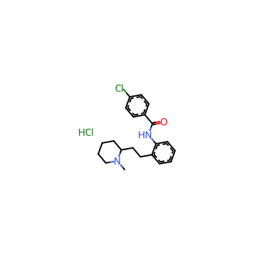 CN1CCCCC1CCc1ccccc1NC(=O)c1ccc(Cl)cc1.Cl